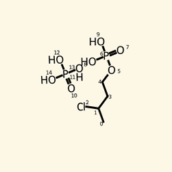 CC(Cl)CCOP(=O)(O)O.O=P(O)(O)O